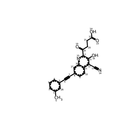 Cc1cccc(C#Cc2ccc3c(C#N)c(O)c(C(=O)CCC(=O)O)nc3c2)c1